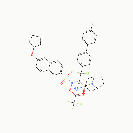 NC1CC2CCC(C1)N2C(=O)[C@H](N(OC(=O)C(F)(F)F)S(=O)(=O)c1ccc2cc(OC3CCCC3)ccc2c1)C(F)(F)c1ccc(-c2ccc(Cl)cc2)cc1